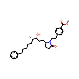 COC(=O)c1ccc(CCN2C(=O)CCC2CC[C@@H](O)[C@@H](C)CCCCCc2ccccc2)cc1